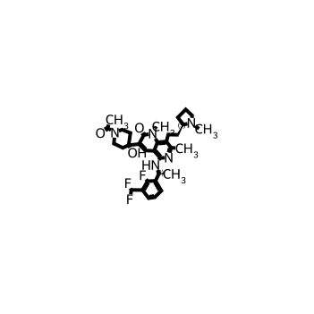 CC(=O)N1CCC(O)(c2cc3c(N[C@H](C)c4cccc(C(F)F)c4F)nc(C)c(CC[C@H]4CCCN4C)c3n(C)c2=O)CC1